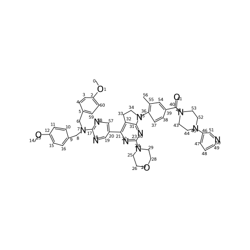 COc1ccc(CN(Cc2ccc(OC)cc2)c2ncc(-c3nc(N4CCOCC4)nc4c3CCN4c3ccc(C(=O)N4CCN(c5cccnc5)CC4)cc3C)cn2)cc1